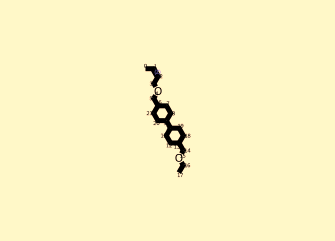 C/C=C\COCC1CCC(C2CCC(COCC)CC2)CC1